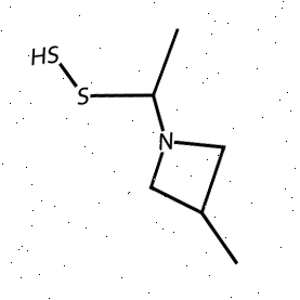 CC1CN(C(C)SS)C1